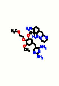 COCCOc1c(OC)cc(Cc2cnc(N)nc2N)cc1OC.Nc1ccc(Cc2ncccn2)c(N)c1